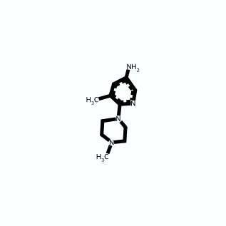 Cc1cc(N)cnc1N1CCN(C)CC1